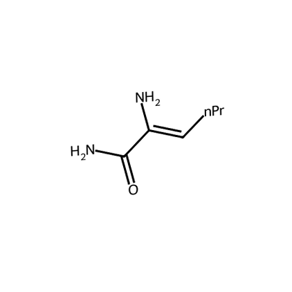 CCCC=C(N)C(N)=O